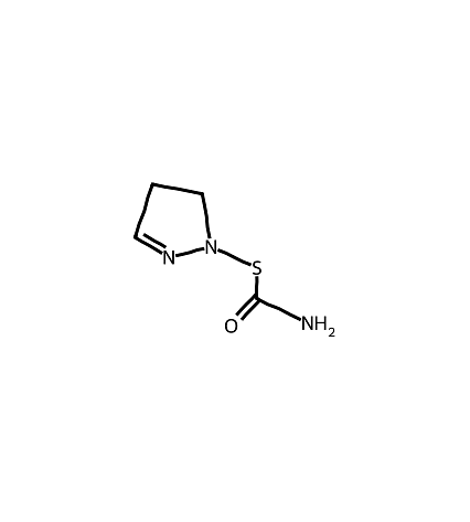 NC(=O)SN1CCC=N1